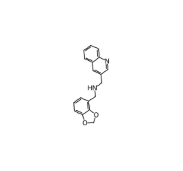 c1cc(CNCc2cnc3ccccc3c2)c2c(c1)OCO2